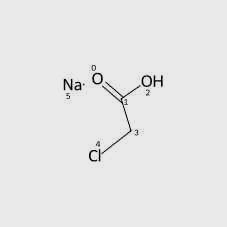 O=C(O)CCl.[Na]